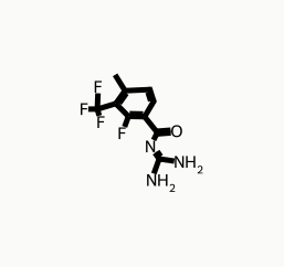 Cc1ccc(C(=O)N=C(N)N)c(F)c1C(F)(F)F